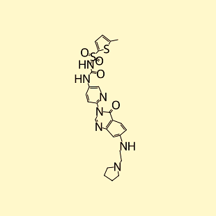 Cc1ccc(S(=O)(=O)NC(=O)Nc2ccc(-n3cnc4cc(NCCN5CCCC5)ccc4c3=O)nc2)s1